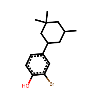 CC1CC(c2ccc(O)c(Br)c2)CC(C)(C)C1